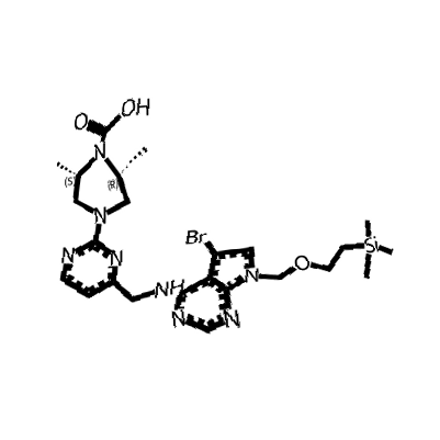 C[C@@H]1CN(c2nccc(CNc3ncnc4c3c(Br)cn4COCC[Si](C)(C)C)n2)C[C@H](C)N1C(=O)O